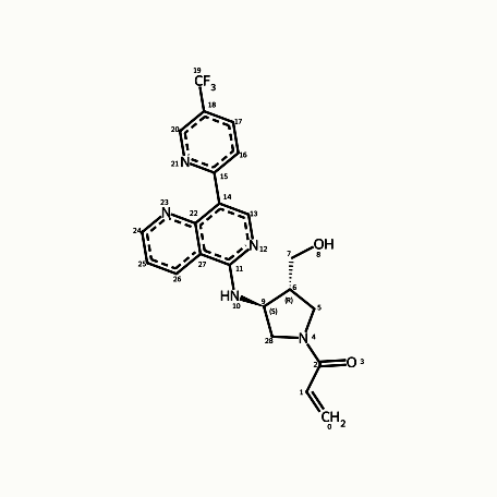 C=CC(=O)N1C[C@@H](CO)[C@H](Nc2ncc(-c3ccc(C(F)(F)F)cn3)c3ncccc23)C1